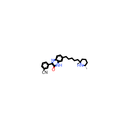 C[C@H]1CCC[C@@](C)(CCCCCc2ccc3nc(-c4cccc(C#N)c4)c(=O)[nH]c3c2)N1